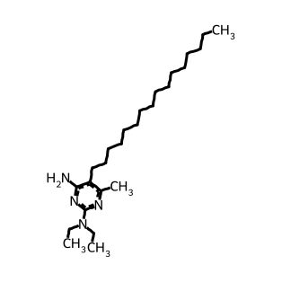 CCCCCCCCCCCCCCCCc1c(C)nc(N(CC)CC)nc1N